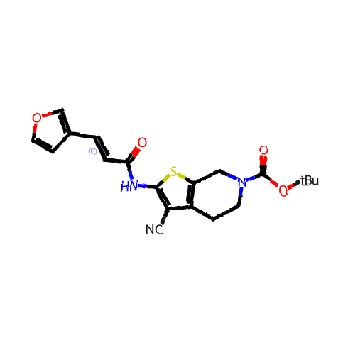 CC(C)(C)OC(=O)N1CCc2c(sc(NC(=O)/C=C/c3ccoc3)c2C#N)C1